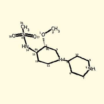 CO[C@@H]1CN(C2CCNCC2)CC[C@H]1NS(C)(=O)=O